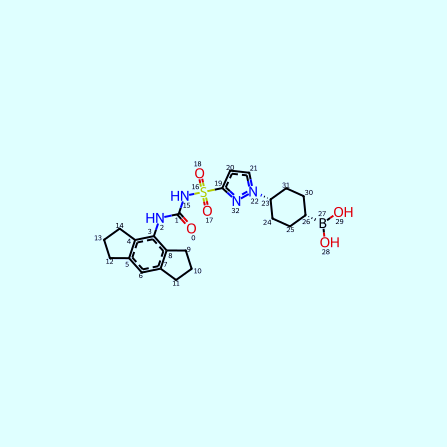 O=C(Nc1c2c(cc3c1CCC3)CCC2)NS(=O)(=O)c1ccn([C@H]2CC[C@@H](B(O)O)CC2)n1